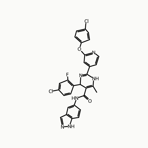 CC1=C(C(=O)Nc2ccc3[nH]ncc3c2)C(c2ccc(Cl)cc2F)N=C(c2ccnc(Oc3ccc(Cl)cc3)c2)N1